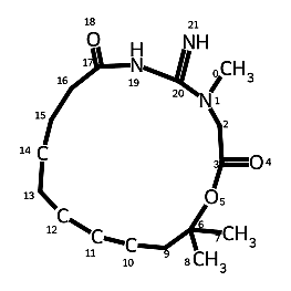 CN1CC(=O)OC(C)(C)CCCCCCCCC(=O)NC1=N